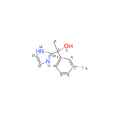 CC(O)(c1cccc(F)c1)c1ncc[nH]1